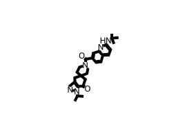 CC(C)n1ncc2c1C(=O)CC1(CCN(C(=O)c3ccc4ccc(NC(C)(C)C)nc4c3)CC1)C2